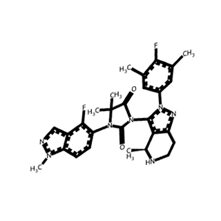 Cc1cc(-n2nc3c(c2N2C(=O)N(c4ccc5c(cnn5C)c4F)C(C)(C)C2=O)[C@H](C)NCC3)cc(C)c1F